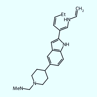 C=CN/C=C(\C=C/CC)c1cc2cc(C3CCN(CNC)CC3)ccc2[nH]1